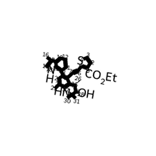 CCOC(=O)c1ccsc1C#Cc1c(-c2cccc3c(C)c[nH]c23)cc(C)c2c1[C@H](C)C(O)C(C)(C)N2